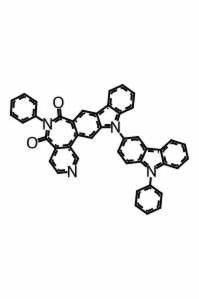 O=c1c2ccncc2c2cc3c(cc2c(=O)n1-c1ccccc1)c1ccccc1n3-c1ccc2c(c1)c1ccccc1n2-c1ccccc1